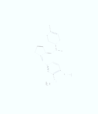 CCOc1cc(C=C2CCCC2CC(C)C2CC=C(C)CC2)ccc1O